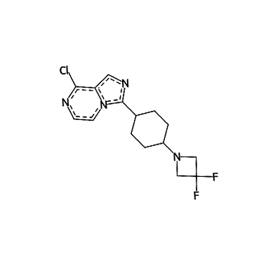 FC1(F)CN(C2CCC(c3ncc4c(Cl)nccn34)CC2)C1